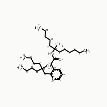 CCCCCCC(C)(BC(=O)Cc1cccbc1CC(C)(CCCC)CCCC)CCCCC